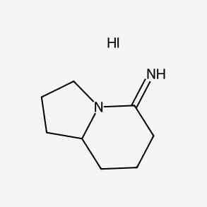 I.N=C1CCCC2CCCN12